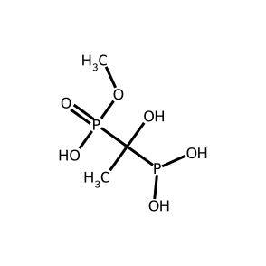 COP(=O)(O)C(C)(O)P(O)O